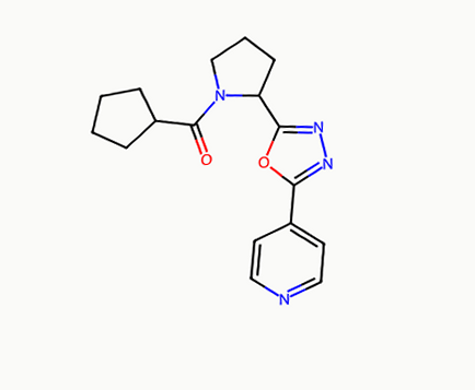 O=C(C1CCCC1)N1CCCC1c1nnc(-c2ccncc2)o1